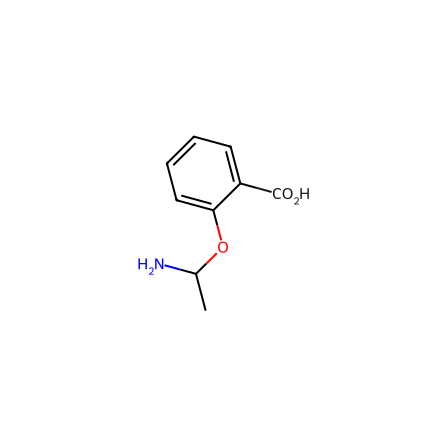 CC(N)Oc1ccccc1C(=O)O